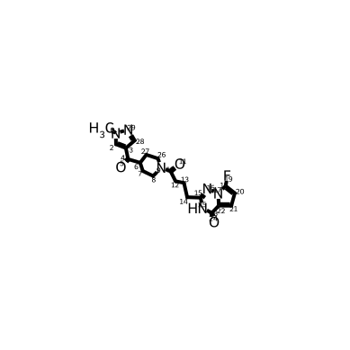 Cn1cc(C(=O)C2CCN(C(=O)CCCc3nn4c(F)ccc4c(=O)[nH]3)CC2)cn1